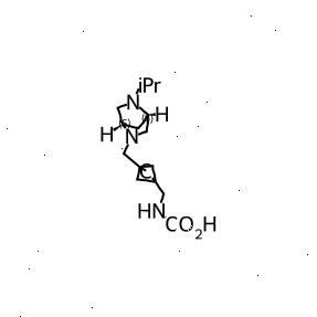 CC(C)N1C[C@@H]2C[C@H]1CN2CC12CC(CNC(=O)O)(C1)C2